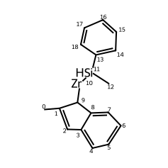 CC1=Cc2ccccc2[CH]1[Zr][SiH](C)c1ccccc1